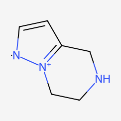 C1=CC2=[N+](CCNC2)[N]1